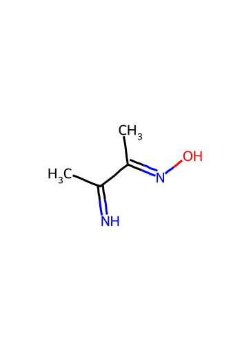 CC(=N)/C(C)=N/O